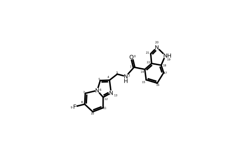 O=C(NCc1cn2cc(F)ccc2n1)c1cccc2[nH]ncc12